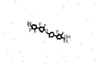 CCOc1ccc(-c2ccc(OCC3CCC(c4ccc(C(O)CC)c(F)c4F)CC3)c(F)c2F)c(F)c1F